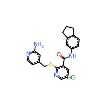 Cl.Nc1cc(CSc2ncccc2C(=O)Nc2ccc3c(c2)CCC3)ccn1